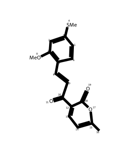 COc1cc(SC)ccc1C=CC(=O)c1ccc(C)oc1=O